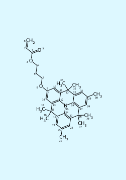 C=CC(=O)OCCCOc1cc2c3c(c1)C(C)(C)c1cc(C)cc4c1N3c1c(cc(C)cc1C2(C)C)C4(C)C